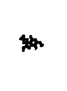 COC(=O)C1(c2cc(F)c(CBr)cc2F)CC2(CO2)C1